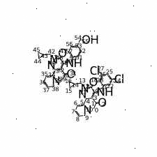 CC(=O)c1c(-c2ccccn2)nn(CC2CC2)c(=O)c1Nc1cc(Cl)cc(Cl)c1.CC(=O)c1c(-c2ccccn2)nn(CC2CC2)c(=O)c1Nc1ccc(CO)cc1